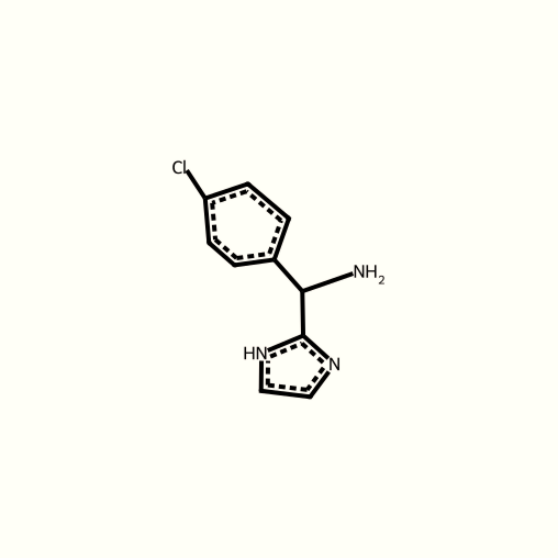 NC(c1ccc(Cl)cc1)c1ncc[nH]1